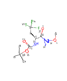 CON(C)C(=O)[C@H](CC(F)(F)F)NC(=O)OC(C)(C)C